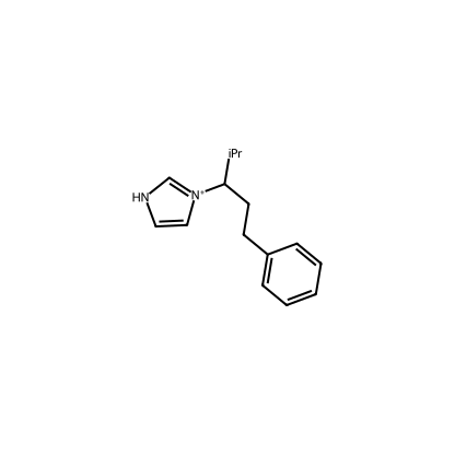 CC(C)C(CCc1ccccc1)[n+]1cc[nH]c1